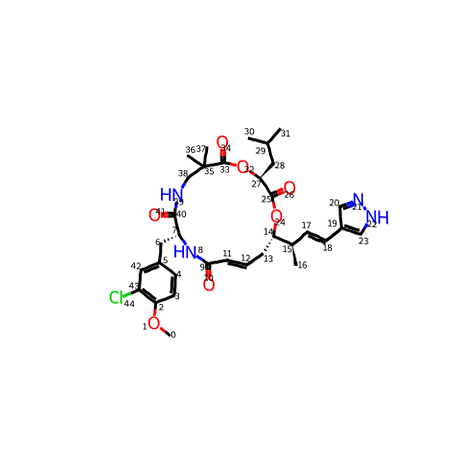 COc1ccc(C[C@H]2NC(=O)/C=C/C[C@@H]([C@H](C)/C=C/c3cn[nH]c3)OC(=O)[C@H](CC(C)C)OC(=O)C(C)(C)CNC2=O)cc1Cl